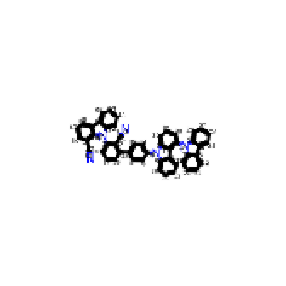 N#Cc1c(-c2ccc(-n3c4ccccc4c4c(-n5c6ccccc6c6ccccc65)cccc43)cc2)cccc1-n1c2ccccc2c2cccc(C#N)c21